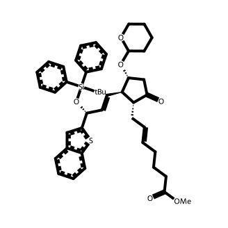 COC(=O)CCCC=CC[C@H]1C(=O)C[C@@H](OC2CCCCO2)[C@@H]1C=C[C@@H](O[Si](c1ccccc1)(c1ccccc1)C(C)(C)C)c1cc2ccccc2s1